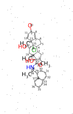 C[C@@H]1CC2C3CCC4=CC(=O)C=CC4(C)[C@@]3(Cl)[C@@H](O)CC2(C)[C@@]1(O)C(=O)N[C@H](C)c1cccc2ccccc12